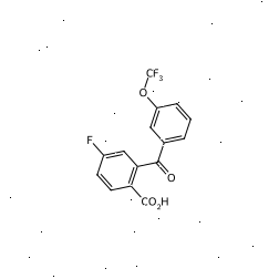 O=C(O)c1ccc(F)cc1C(=O)c1cccc(OC(F)(F)F)c1